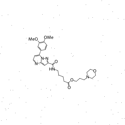 COc1ccc(-c2ccnc3cc(C(=O)NCCCCC(=O)OCCCN4CCOCC4)nn23)cc1OC